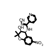 CC1(C)Oc2ccc([N+](=O)[O-])cc2[C@@H](NC(=NC#N)c2cccnc2)[C@@H]1O